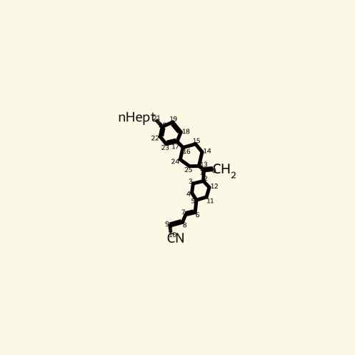 C=C(C1CCC(C=CC=CC#N)CC1)C1CCC(c2ccc(CCCCCCC)cc2)CC1